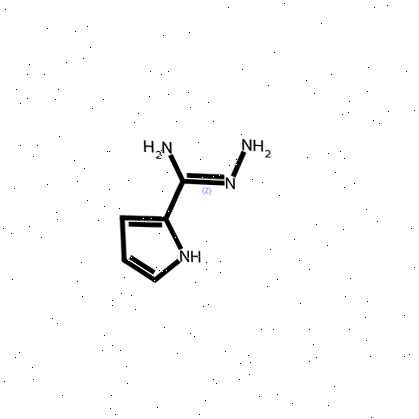 N/N=C(\N)c1ccc[nH]1